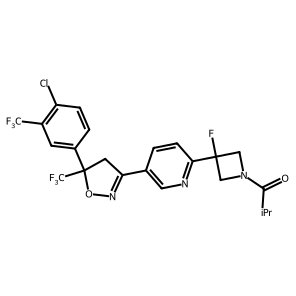 CC(C)C(=O)N1CC(F)(c2ccc(C3=NOC(c4ccc(Cl)c(C(F)(F)F)c4)(C(F)(F)F)C3)cn2)C1